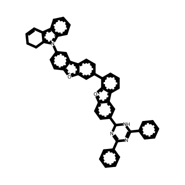 C1=Cc2c(n(-c3ccc4oc5cc(-c6cccc7c6oc6ccc(C8N=C(c9ccccc9)N=C(c9ccccc9)N8)cc67)ccc5c4c3)c3ccccc23)CC1